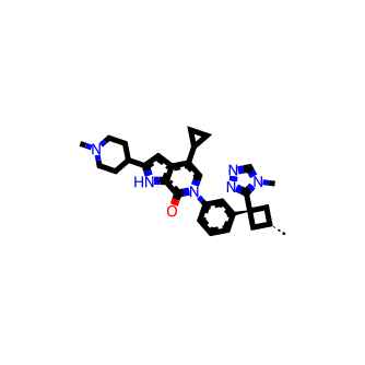 CN1CCC(c2cc3c(C4CC4)cn(-c4cccc([C@]5(c6nncn6C)C[C@@H](C)C5)c4)c(=O)c3[nH]2)CC1